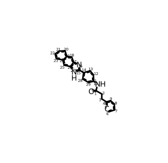 O=C(CCc1ccccc1)Nc1ccc(-c2nc3cc4ccccc4cc3[nH]2)cc1